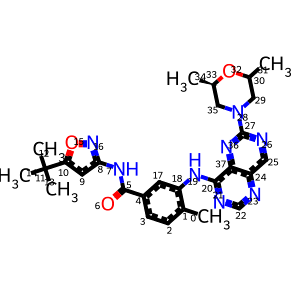 Cc1ccc(C(=O)Nc2cc(C(C)(C)C)on2)cc1Nc1ncnc2cnc(N3CC(C)O[C@H](C)C3)nc12